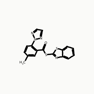 Cc1ccc(-n2nccn2)c(C(=O)Sc2nc3ccccc3s2)c1